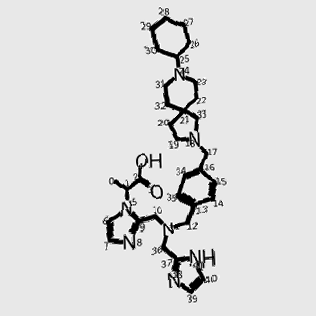 CC(C(=O)O)n1ccnc1CN(Cc1ccc(CN2CCC3(CCN(C4CCCCC4)CC3)C2)cc1)Cc1ncc[nH]1